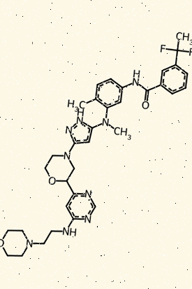 Cc1ccc(NC(=O)c2cccc(C(C)(F)F)c2)cc1N(C)c1cc(N2CCOC(c3cc(NCCN4CCOCC4)ncn3)C2)n[nH]1